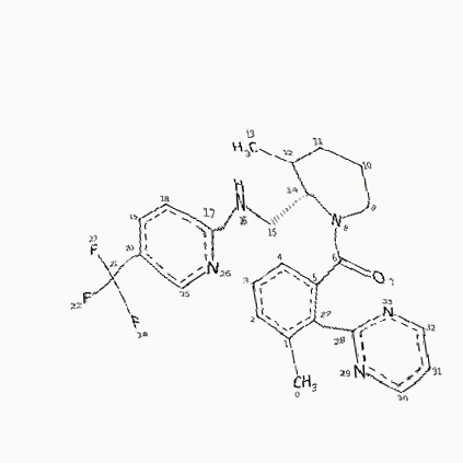 Cc1cccc(C(=O)N2CCCC(C)[C@H]2CNc2ccc(C(F)(F)F)cn2)c1-c1ncccn1